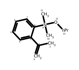 C=C(C)c1ccccc1[Si](C)(C)OCCC